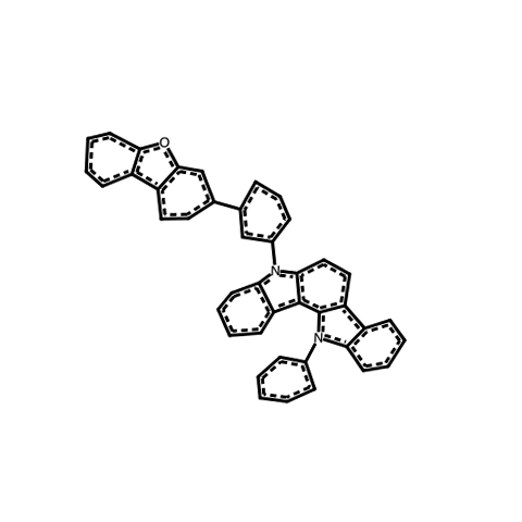 c1ccc(-n2c3ccccc3c3ccc4c(c5ccccc5n4-c4cccc(-c5ccc6c(c5)oc5ccccc56)c4)c32)cc1